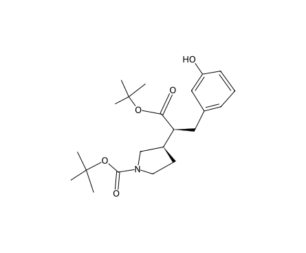 CC(C)(C)OC(=O)[C@@H](Cc1cccc(O)c1)[C@H]1CCN(C(=O)OC(C)(C)C)C1